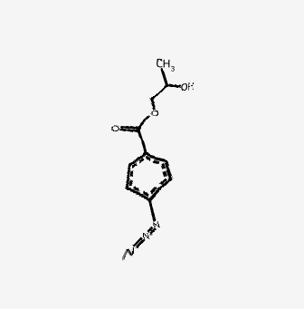 CC(O)COC(=O)c1ccc(N=[N+]=[N-])cc1